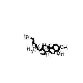 CC(C)CCC[C@@H](C)[C@H]1CC[C@H]2C3=CC[C@]4(O)C[C@@H](O)CC[C@]4(C)[C@H]3CC[C@]12C